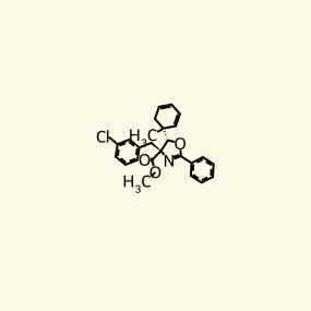 COC(=O)[C@@]1(Cc2cccc(Cl)c2)N=C(c2ccccc2)O[C@H]1C1(C)C=CC=CC1